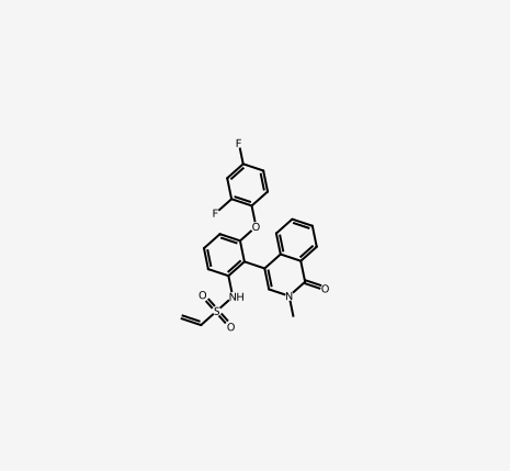 C=CS(=O)(=O)Nc1cccc(Oc2ccc(F)cc2F)c1-c1cn(C)c(=O)c2ccccc12